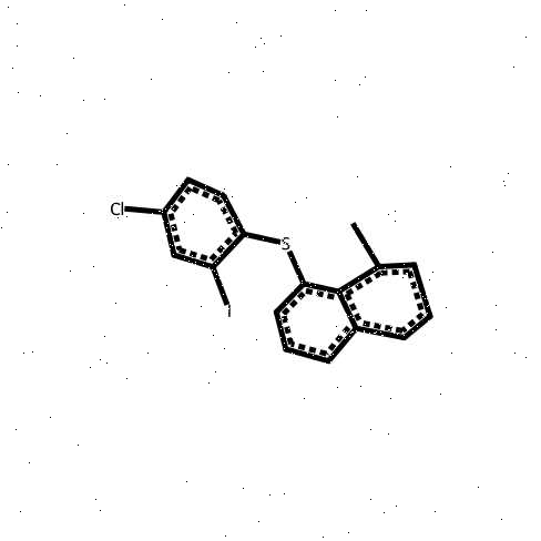 Cc1cccc2cccc(Sc3ccc(Cl)cc3I)c12